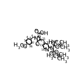 COc1ccc(CN2C(=O)[C@H](Cc3ccnc(N(C(=O)OC(C)(C)C)C(=O)OC(C)(C)C)c3)[C@H]2C(=O)O)cc1